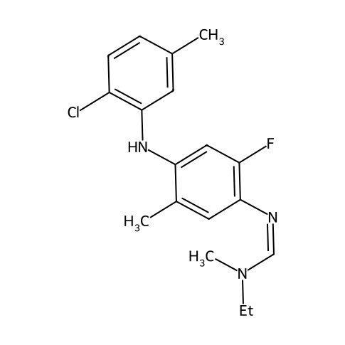 CCN(C)/C=N\c1cc(C)c(Nc2cc(C)ccc2Cl)cc1F